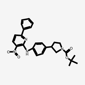 CC(C)(C)OC(=O)N1CCC(c2ccc(Nc3nc(-c4ccccc4)ccc3[N+](=O)[O-])cc2)C1